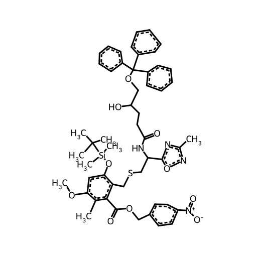 COc1cc(O[Si](C)(C)C(C)(C)C)c(CSCC(NC(=O)CCC(O)COC(c2ccccc2)(c2ccccc2)c2ccccc2)c2nc(C)no2)c(C(=O)OCc2ccc([N+](=O)[O-])cc2)c1C